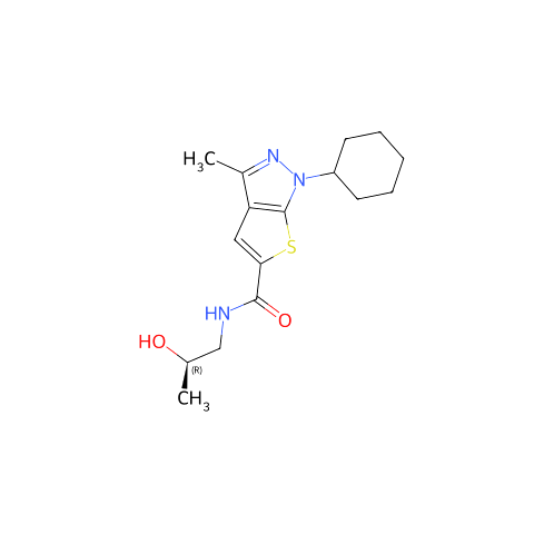 Cc1nn(C2CCCCC2)c2sc(C(=O)NC[C@@H](C)O)cc12